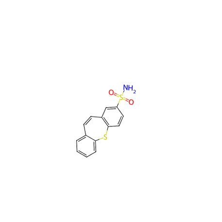 NS(=O)(=O)c1ccc2c(c1)C=Cc1ccccc1S2